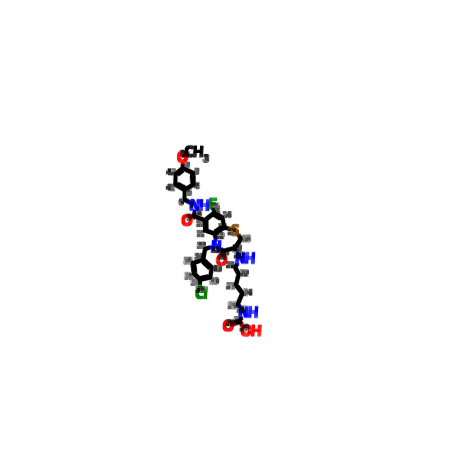 COc1ccc(CNC(=O)c2cc3c(cc2F)SC[C@H](NCCCCCNC(=O)O)C(=O)N3Cc2ccc(Cl)cc2)cc1